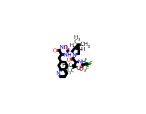 CC(C)(C)C(NC(=O)C(F)(F)F)C(=O)N1C[C@H]2[C@@H]([C@H]1C(=O)NC(CC1CCc3cccnc3C1)C(N)=O)C2(C)C